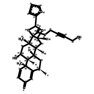 C[C@]12C=CC(=O)C=C1[C@@H](F)C[C@H]1[C@@H]3C[C@H]4OC(c5ccco5)O[C@@]4(C(=O)SCC#CCO)[C@@]3(C)C[C@H](O)[C@@]12F